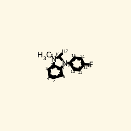 CN1c2ccccc2N(c2ccc(F)cc2)C1I